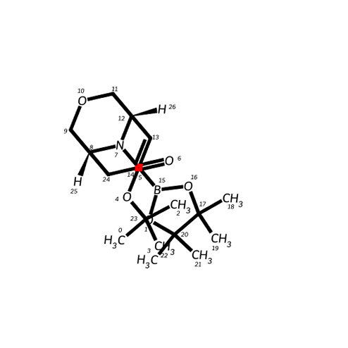 CC(C)(C)OC(=O)N1[C@H]2COC[C@@H]1C=C(B1OC(C)(C)C(C)(C)O1)C2